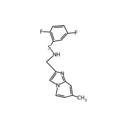 Cc1ccn2cc(CNSc3cc(F)ccc3F)nc2c1